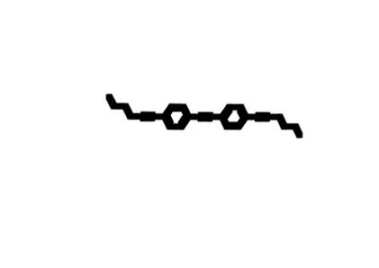 CCCCC#Cc1ccc(C#Cc2ccc(C#CCCCC)cc2)cc1